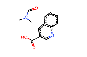 CN(C)C=O.O=C(O)c1cnc2ccccc2c1